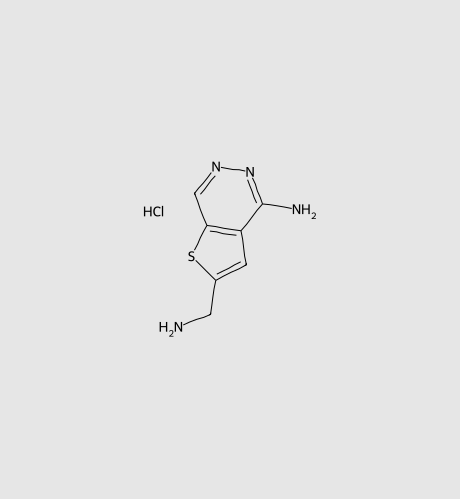 Cl.NCc1cc2c(N)nncc2s1